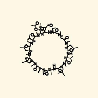 CC[C@@H]1NC(=O)[C@H]([C@H](OC(C)=O)[C@H](C)CC=O)N(C)C(=O)[C@H](C(C)C)N(C)C(=O)[C@H](CC(C)C)N(C)C(=O)[C@H](CC(C)C)N(C)C(=O)[C@H](C)NC(=O)[C@@H](C)NC(=O)[C@@H](CC(C)C)N(C)C(=O)[C@@H](C(C)C)NC(=O)[C@H](CC(C)C)N(C)C(=O)CN(C)C1=O